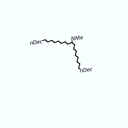 CCCCCCCCCCCCCCCCCCC(CCCCCCCCCCCCCCCCCC)NC